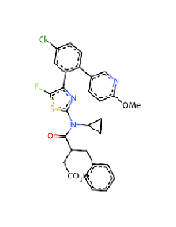 COc1ccc(-c2ccc(Cl)cc2-c2nc(N(C(=O)C(CC(=O)O)Cc3ccccc3)C3CC3)sc2F)cn1